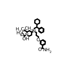 CC(C)(C)C1CC(N(CCCOc2cccc(C(N)=O)c2)CC(c2ccccc2)C2CCCCC2)CCN1C(=O)O